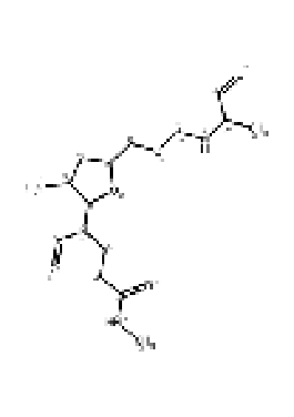 CNC(=O)CCN(C=O)C1OC(COPNC(C)C=O)CC1C